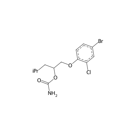 CC(C)CC(COc1ccc(Br)cc1Cl)OC(N)=O